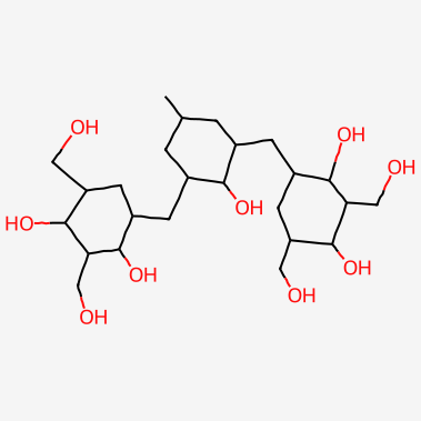 CC1CC(CC2CC(CO)C(O)C(CO)C2O)C(O)C(CC2CC(CO)C(O)C(CO)C2O)C1